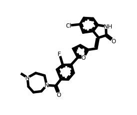 CN1CCCN(C(=O)c2ccc(-c3ccc(/C=C4/C(=O)Nc5ccc(Cl)cc54)o3)c(F)c2)CC1